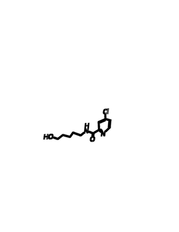 O=C(NCCCCCO)c1cc(Cl)ccn1